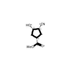 COC(=O)[C@H]1C[C@@H](C#N)[C@@H](O)C1